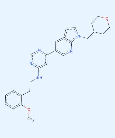 COc1ccccc1CCNc1cc(-c2cnc3c(ccn3CC3CCOCC3)c2)ncn1